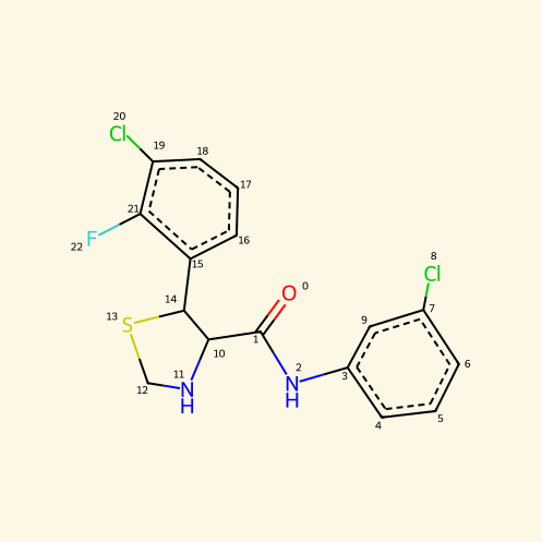 O=C(Nc1cccc(Cl)c1)C1NCSC1c1cccc(Cl)c1F